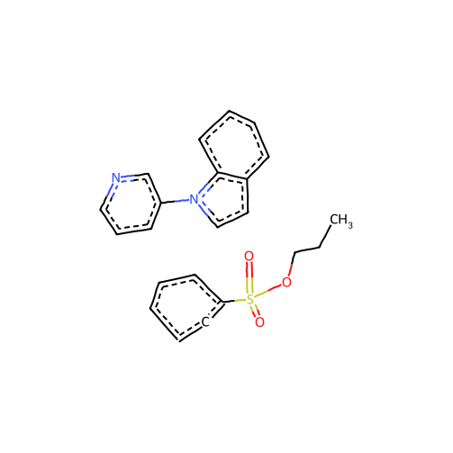 CCCOS(=O)(=O)c1ccccc1.c1cncc(-n2ccc3ccccc32)c1